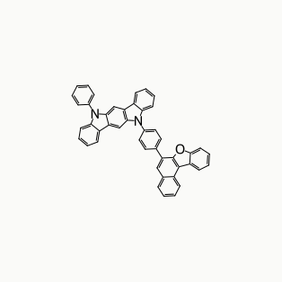 c1ccc(-n2c3ccccc3c3cc4c(cc32)c2ccccc2n4-c2ccc(-c3cc4ccccc4c4c3oc3ccccc34)cc2)cc1